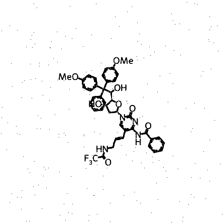 COc1ccc(C(c2ccccc2)(c2ccc(OC)cc2)C(O)[C@H]2O[C@@H](n3cc(C=CCNC(=O)C(F)(F)F)c(NC(=O)c4ccccc4)nc3=O)C[C@@H]2O)cc1